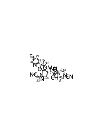 COC1(C(Oc2cc(-c3nnn(C4CCN(C#N)CC4)c3C)cc3ncc(C#N)n23)c2ccc(F)cn2)CC1